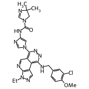 CCn1ncc2c3c(NCc4ccc(OC)c(Cl)c4)nnc(-n4cnc(NC(=O)N5C=NC(C)(C)C5)c4)c3cnc21